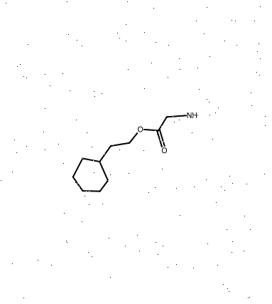 [NH]CC(=O)OCCC1CCCCC1